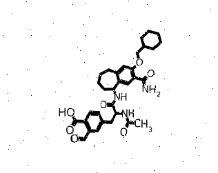 CC(=O)NC(Cc1ccc(C(=O)O)c(C=O)c1)C(=O)NC1CCCCc2cc(OCC3CCCCC3)c(C(N)=O)cc21